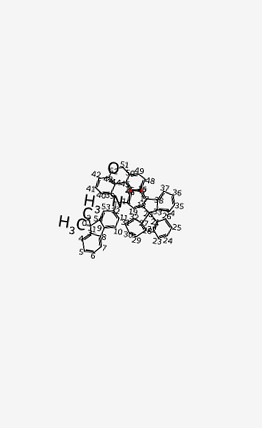 CC1(C)c2ccccc2-c2ccc(N(c3ccc4c(c3)C(c3ccccc3)(c3ccccc3)c3ccccc3-4)c3cccc4c3-c3ccccc3CO4)cc21